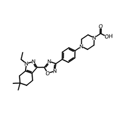 CCn1nc(-c2nc(-c3ccc(N4CCN(C(=O)O)CC4)cc3)no2)c2c1CC(C)(C)CC2